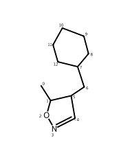 CC1ON=[C]C1CC1CCCCC1